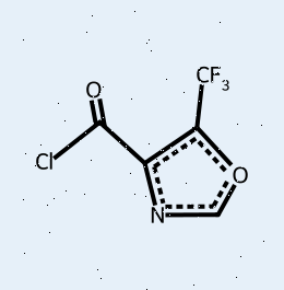 O=C(Cl)c1ncoc1C(F)(F)F